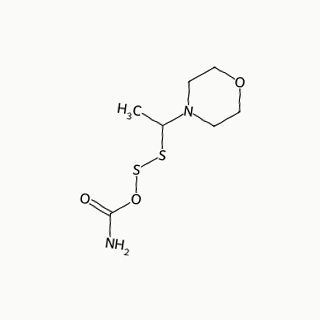 CC(SSOC(N)=O)N1CCOCC1